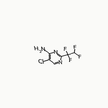 Nc1nc(C(F)(F)C(F)F)ncc1Cl